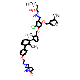 Cc1c(COc2cc(OCc3cncc(C#N)c3)c(CNC[C@@H](O)CC(=O)O)cc2Cl)cccc1-c1cccc(-c2ccc(OCCN3CC4(CCC(=O)N4)C3)cc2)c1C